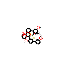 COc1cccc(-c2cccc(-c3cccc(OC)c3)c2S[CH]([BiH2])Sc2c(-c3cccc(OC)c3)cccc2-c2cccc(OC)c2)c1